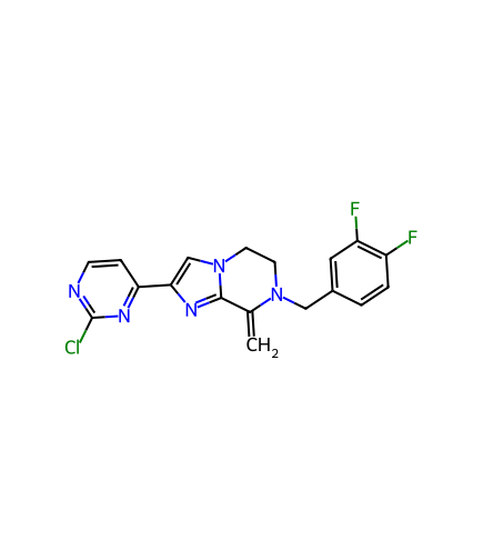 C=C1c2nc(-c3ccnc(Cl)n3)cn2CCN1Cc1ccc(F)c(F)c1